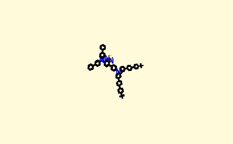 CC(C)(C)c1ccc(-c2ccc(-c3ccc4c(c3)c3cc(-c5ccc(-c6ccc(C(C)(C)C)cc6)cc5)ccc3n4-c3ccc(-c4ccc(N(c5ccc(-c6ccccc6)cc5)c5ccc(-c6ccccc6)cc5)c5nsnc45)cc3)cc2)cc1